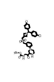 CC(C)(C)OC(=O)NCC(=O)C1CN(c2cccc(CS(=O)(=O)C=C3CN(C(c4ccc(Cl)cc4)c4ccc(Cl)cc4)C3)c2)CCN1